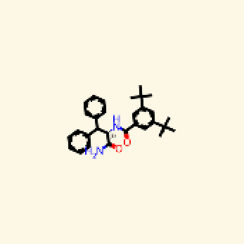 CC(C)(C)c1cc(C(=O)N[C@H](C(N)=O)C(c2ccccc2)c2ccccc2)cc(C(C)(C)C)c1